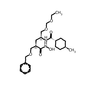 CCOCOC[C@H](C[C@H](COCc1ccccc1)C(=O)NO)NC(=O)[C@H]1CC[C@H](C)CC1